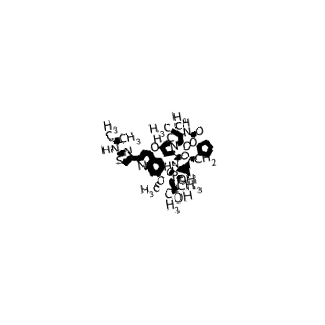 C=C[C@@H]1C[C@]1(NC(=O)[C@@H]1C[C@@H](Oc2cc(-c3csc(NC(C)C)n3)nc3cc(OC)ccc23)CN1C(=O)[C@@H](NC(=O)OC1CCCC1)C(C)(C)C)P(=O)(O)CC(C)(C)O